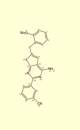 COc1ccccc1Cc1cc2c(N)nc(-c3cccc(C#N)c3)nc2s1